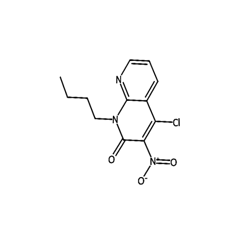 CCCCn1c(=O)c([N+](=O)[O-])c(Cl)c2cccnc21